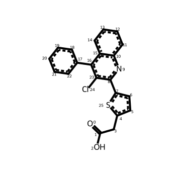 O=C(O)Cc1ccc(-c2nc3ccccc3c(-c3ccccc3)c2Cl)s1